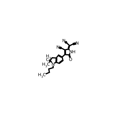 CCCCN1c2ccc(C3=C(C#N)C(=C(C#N)C#N)NC3=O)cc2CC1(C)C